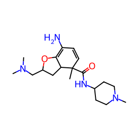 CN(C)CC1CC2C(=C(N)C=CC2(C)C(=O)NC2CCN(C)CC2)O1